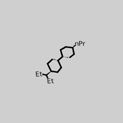 CCC[C@H]1CC[C@H]([C@H]2CC[C@H](C(CC)CC)CC2)CC1